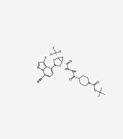 CC(C)(C)OC(=O)N1CCC(C(=O)NNC(=O)[C@]23CN(c4ccc(C#N)n5ncc(F)c45)C[C@@]2(C(F)(F)F)C3)CC1